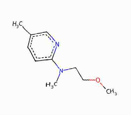 COCCN(C)c1ccc(C)cn1